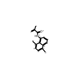 C=C(C)C(=O)Nc1cccc2c(C)ccc(C)c12